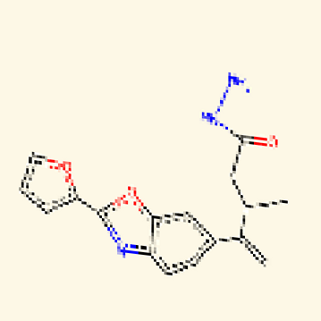 C=C(c1ccc2nc(-c3ccco3)oc2c1)C(C)CC(=O)NN